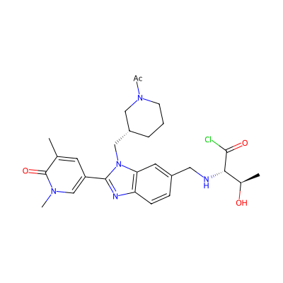 CC(=O)N1CCC[C@H](Cn2c(-c3cc(C)c(=O)n(C)c3)nc3ccc(CN[C@H](C(=O)Cl)[C@@H](C)O)cc32)C1